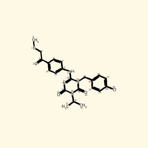 COCC(=O)c1ccc(Nc2nc(=O)n(C(C)C)c(=O)n2Cc2ccc(Cl)cc2)cc1